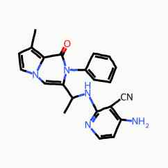 Cc1ccn2cc(C(C)Nc3nccc(N)c3C#N)n(-c3ccccc3)c(=O)c12